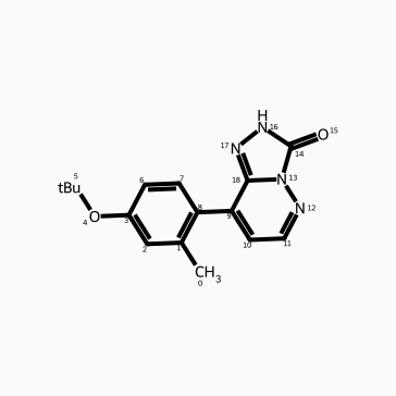 Cc1cc(OC(C)(C)C)ccc1-c1ccnn2c(=O)[nH]nc12